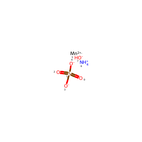 O=S(=O)([O-])[O-].[Mn+2].[NH4+].[OH-]